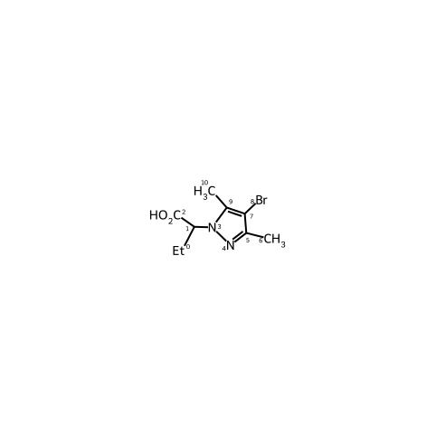 CCC(C(=O)O)n1nc(C)c(Br)c1C